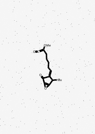 CCCCC1C(=CCCCCC(=C=O)OC)C(=O)C2=C1O2